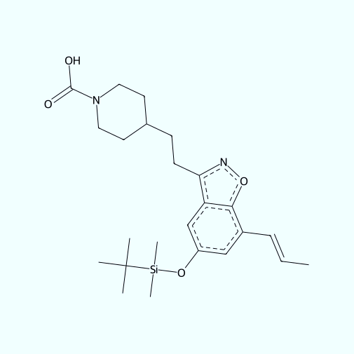 CC=Cc1cc(O[Si](C)(C)C(C)(C)C)cc2c(CCC3CCN(C(=O)O)CC3)noc12